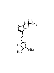 CCCCC1N=C(SCC2=CSC3=NC(C)(C)CN23)NC1C